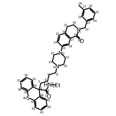 CCNC(=O)C1(CCCCN2CCN(c3ccc4c(c3)C(=O)N(Cc3cccc(C)c3)CC4)CC2)c2ccccc2Sc2ccccc21